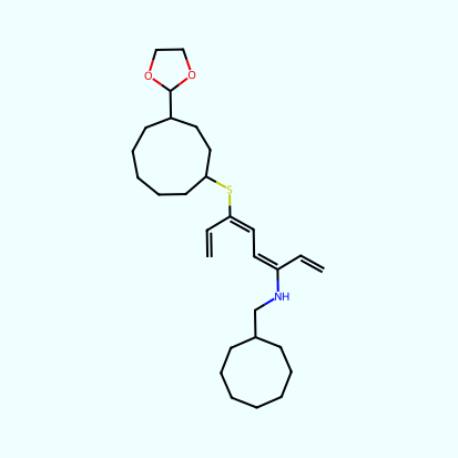 C=C/C(=C\C=C(/C=C)SC1CCCCCC(C2OCCO2)CC1)NCC1CCCCCCC1